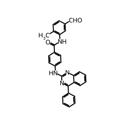 Cc1ccc(C=O)cc1NC(=O)c1ccc(Nc2nc(-c3ccccc3)c3ccccc3n2)cc1